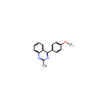 N#Cc1nc(-c2ccc(OC(F)(F)F)cc2)c2ccccc2n1